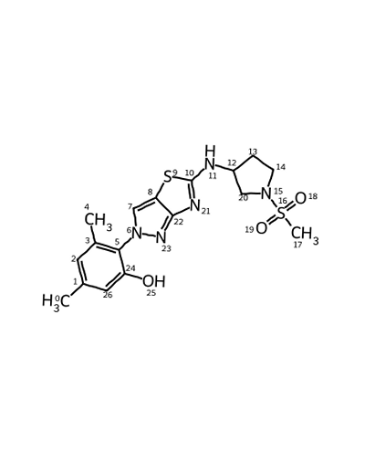 Cc1cc(C)c(-n2cc3sc(NC4CCN(S(C)(=O)=O)C4)nc3n2)c(O)c1